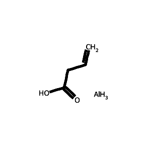 C=CCC(=O)O.[AlH3]